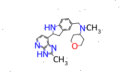 Cc1nc2c(C3Cc4cc(CN(C)C5CCOCC5)ccc4N3)ccnc2[nH]1